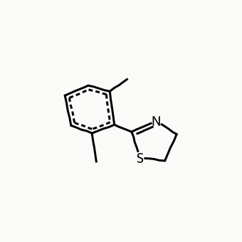 Cc1cccc(C)c1C1=NCCS1